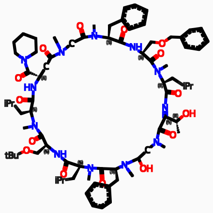 CC(C)C[C@H]1C(=O)N[C@@H]([C@@H](C)O)C(=O)N(C)CC(O)N(C)[C@@H](Cc2ccccc2)C(=O)N(C)[C@@H](CC(C)C)C(=O)N[C@@H](COC(C)(C)C)C(=O)N(C)[C@@H](CC(C)C)C(=O)N[C@H](C(=O)N2CCCCC2)CC(=O)N(C)CC(=O)N(C)[C@@H](Cc2ccccc2)C(=O)N[C@@H](COCc2ccccc2)C(=O)N1C